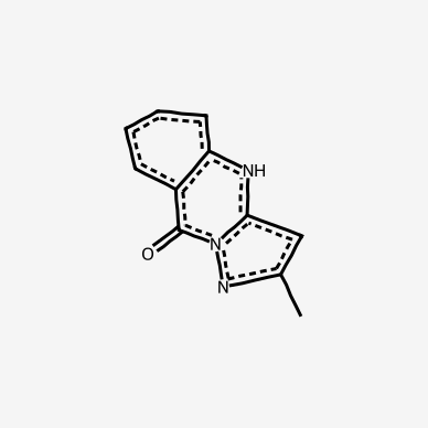 Cc1cc2[nH]c3ccccc3c(=O)n2n1